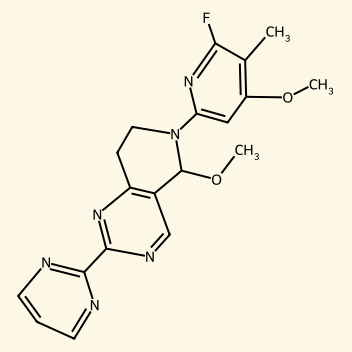 COc1cc(N2CCc3nc(-c4ncccn4)ncc3C2OC)nc(F)c1C